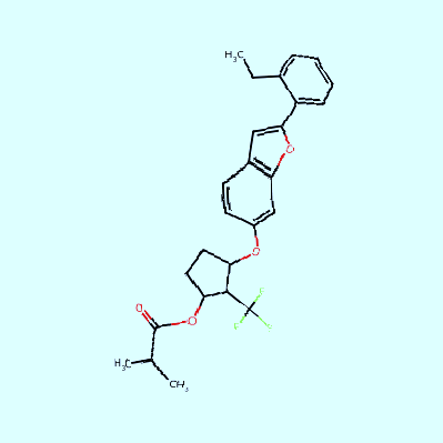 CCc1ccccc1-c1cc2ccc(OC3CCC(OC(=O)C(C)C)C3C(F)(F)F)cc2o1